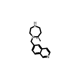 C[C@@H]1CCNCCN1Cc1ccc2cnccc2c1